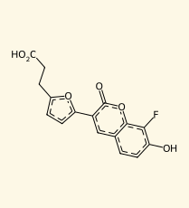 O=C(O)CCc1ccc(-c2cc3ccc(O)c(F)c3oc2=O)o1